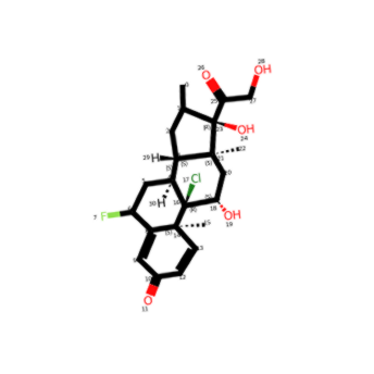 CC1C[C@H]2[C@@H]3CC(F)C4=CC(=O)C=C[C@]4(C)[C@@]3(Cl)[C@@H](O)C[C@]2(C)[C@@]1(O)C(=O)CO